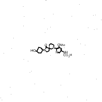 COc1cc(NC(=O)O)cnc1N1CCC[C@]2(CCN(C3CCC(O)CC3)C2=O)C1